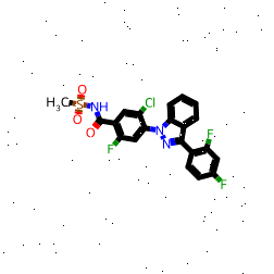 CS(=O)(=O)NC(=O)c1cc(Cl)c(-n2nc(-c3ccc(F)cc3F)c3ccccc32)cc1F